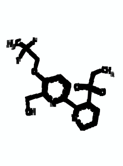 CCS(=O)(=O)c1cccnc1-c1ccc(OCC(C)(F)F)c(CO)n1